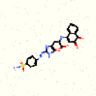 NS(=O)(=O)C1C=CC(/N=N/c2nc(CC(NC3=CC(=O)C(=O)c4ccccc43)C(=O)O)c[nH]2)=CC1